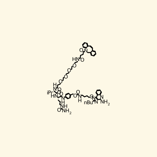 CCCCc1nc2c(N)nc3ccccc3c2n1OCCCCNC(=O)OCc1ccc(NC(=O)[C@H](CCCNC(N)=O)NC(=O)[C@@H](NC(=O)CCOCCOCCOCCOCCNC(=O)CCC(=O)N2Cc3ccccc3/C=C\c3ccccc32)C(C)C)cc1